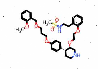 COc1ccccc1COCCCOc1ccc([C@H]2CCNC[C@@H]2OCCOc2ccccc2CCNS(C)(=O)=O)cc1